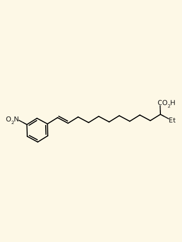 CCC(CCCCCCCCC=Cc1cccc([N+](=O)[O-])c1)C(=O)O